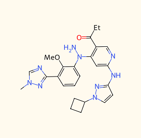 CCC(=O)c1cnc(Nc2ccn(C3CCC3)n2)cc1N(N)c1cccc(-c2ncn(C)n2)c1OC